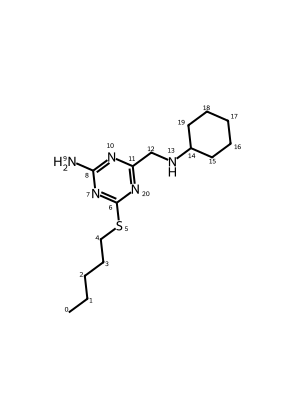 CCCCCSc1nc(N)nc(CNC2CCCCC2)n1